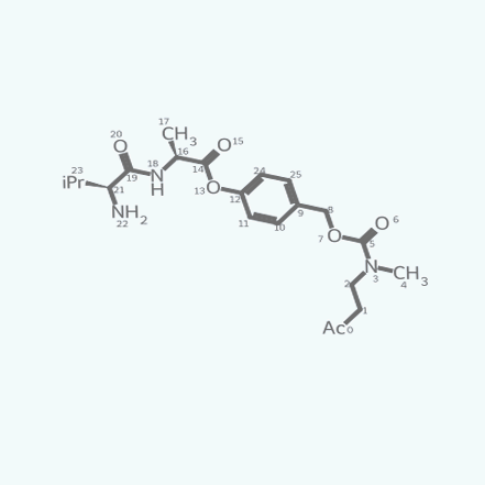 CC(=O)CCN(C)C(=O)OCc1ccc(OC(=O)[C@H](C)NC(=O)[C@@H](N)C(C)C)cc1